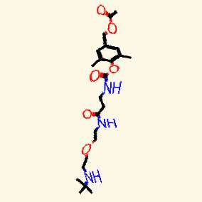 CC(=O)OCc1cc(C)c(OC(=O)NCCC(=O)NCCOCCNC(C)(C)C)c(C)c1